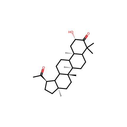 CC(=O)[C@@H]1CC[C@]2(C)CC[C@]3(C)C(CCC4[C@@]5(C)C[C@H](O)C(=O)C(C)(C)C5CC[C@]43C)C12